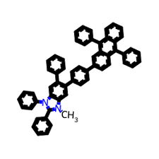 CN1c2cc(-c3ccc(-c4ccc5c(-c6ccccc6)c6ccccc6c(-c6ccccc6)c5c4)cc3)c(-c3ccccc3)cc2N(c2ccccc2)C1c1ccccc1